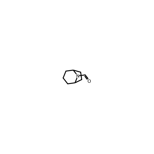 O=CN1C2CCCC1CC2